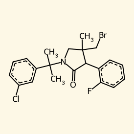 CC1(CBr)CN(C(C)(C)c2cccc(Cl)c2)C(=O)C1c1ccccc1F